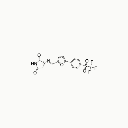 O=C1CN(N=Cc2ccc(-c3ccc(S(=O)(=O)C(F)(F)F)cc3)o2)C(=O)N1